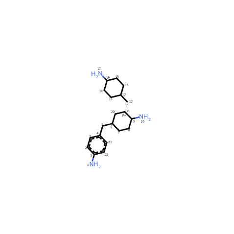 Nc1ccc(CC2CCC(N)[C@@H](CC3CCC(N)CC3)C2)cc1